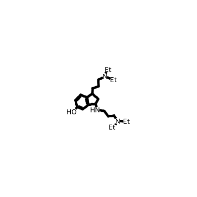 CCN(CC)CCCNC1CC(CCCN(CC)CC)c2ccc(O)cc21